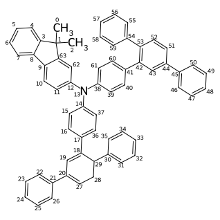 CC1(C)c2ccccc2-c2ccc(N(c3ccc(C4=CC(c5ccccc5)=CCC4c4ccccc4)cc3)c3ccc(-c4cc(-c5ccccc5)ccc4-c4ccccc4)cc3)cc21